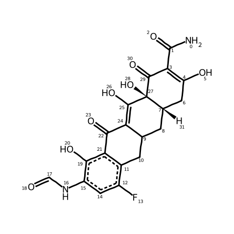 NC(=O)C1=C(O)C[C@@H]2CC3Cc4c(F)cc(NC=O)c(O)c4C(=O)C3=C(O)[C@]2(O)C1=O